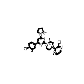 C[C@@H]1CCCN1c1cc(-c2ccc(Cl)c(F)c2)nc(N2CCN(c3nccnc3Cl)C[C@@H]2C)n1